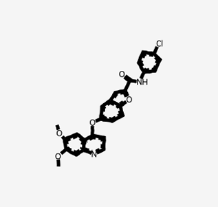 COc1cc2nccc(Oc3ccc4oc(C(=O)Nc5ccc(Cl)cc5)cc4c3)c2cc1OC